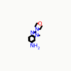 Cn1c(N2CCOCC2)nc2ccc(N)cc21